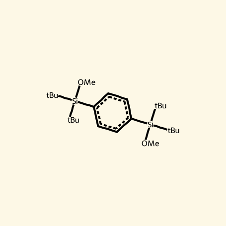 CO[Si](c1ccc([Si](OC)(C(C)(C)C)C(C)(C)C)cc1)(C(C)(C)C)C(C)(C)C